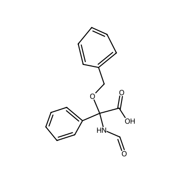 O=CNC(OCc1ccccc1)(C(=O)O)c1ccccc1